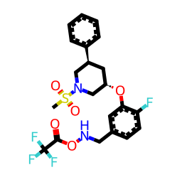 CS(=O)(=O)N1C[C@@H](Oc2cc(CNOC(=O)C(F)(F)F)ccc2F)C[C@H](c2ccccc2)C1